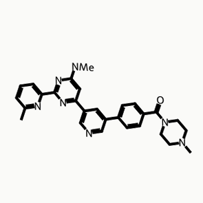 CNc1cc(-c2cncc(-c3ccc(C(=O)N4CCN(C)CC4)cc3)c2)nc(-c2cccc(C)n2)n1